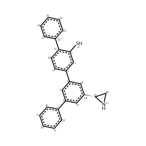 Sc1cc(-c2cc(-c3ccccc3)cc([C@@H]3CN3)c2)ccc1-c1ccccc1